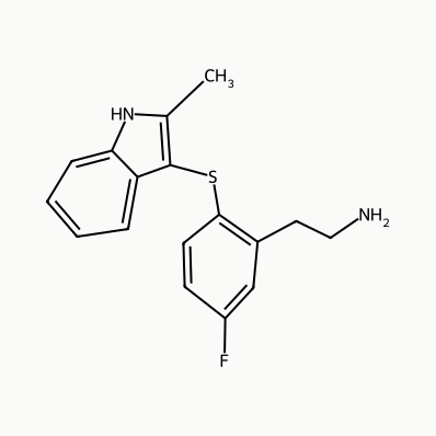 Cc1[nH]c2ccccc2c1Sc1ccc(F)cc1CCN